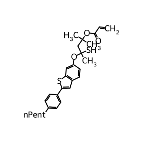 C=CC(=O)OC(C)(C)CC(C)(S)Oc1ccc2cc(-c3ccc(CCCCC)cc3)sc2c1